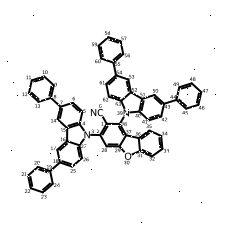 N#Cc1c(-n2c3ccc(-c4ccccc4)cc3c3cc(-c4ccccc4)ccc32)cc2oc3ccccc3c2c1-n1c2ccc(-c3ccccc3)cc2c2cc(-c3ccccc3)ccc21